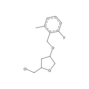 Cc1cccc(F)c1COC1COC(CCl)C1